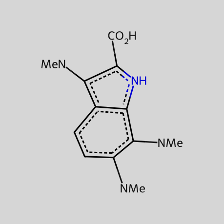 CNc1ccc2c(NC)c(C(=O)O)[nH]c2c1NC